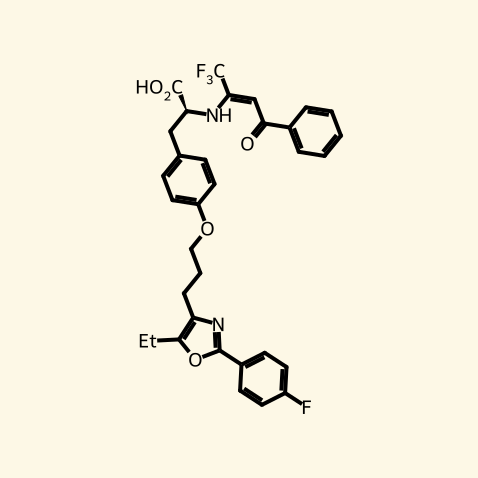 CCc1oc(-c2ccc(F)cc2)nc1CCCOc1ccc(C[C@H](N/C(=C\C(=O)c2ccccc2)C(F)(F)F)C(=O)O)cc1